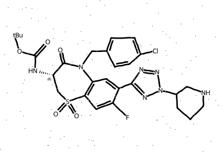 CC(C)(C)OC(=O)N[C@H]1CS(=O)(=O)c2cc(F)c(-c3nnn(C4CCCNC4)n3)cc2N(Cc2ccc(Cl)cc2)C1=O